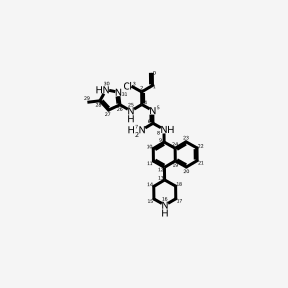 C=C/C(Cl)=C(\N=C(/N)Nc1ccc(C2CCNCC2)c2ccccc12)Nc1cc(C)[nH]n1